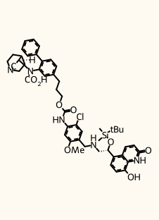 COc1cc(NC(=O)OCCCc2ccc(-c3ccccc3)c(N(C(=O)O)[C@H]3CN4CCC3CC4)c2)c(Cl)cc1CNC[C@H](O[Si](C)(C)C(C)(C)C)c1ccc(O)c2[nH]c(=O)ccc12